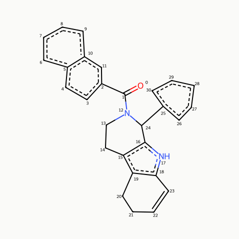 O=C(c1ccc2ccccc2c1)N1CCc2c([nH]c3c2CCC=C3)C1c1ccccc1